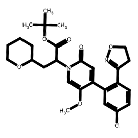 COc1cn(C(CC2CCCCO2)C(=O)OC(C)(C)C)c(=O)cc1-c1cc(Cl)ccc1C1=NOCC1